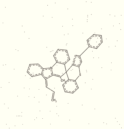 C=C/C=c1\c2n(c3ccccc13)-c1ccccc1C1(C=2C)c2ccccc2Sc2cc(-c3ccccc3)ccc21